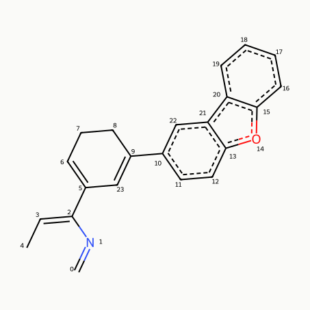 C=N/C(=C\C)C1=CCCC(c2ccc3oc4ccccc4c3c2)=C1